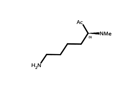 CN[C@@H](CCCCN)C(C)=O